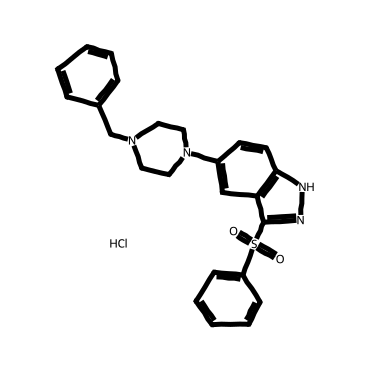 Cl.O=S(=O)(c1ccccc1)c1n[nH]c2ccc(N3CCN(Cc4ccccc4)CC3)cc12